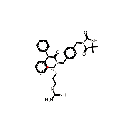 CC1(C)NC(=O)N(Cc2ccc(CN(C(=O)C(c3ccccc3)c3ccccc3)[C@H](CCCNC(=N)N)C(N)=O)cc2)C1=O